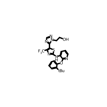 CC(C)(C)c1ccccc1Oc1ncccc1Nc1nc(C(F)(F)F)c(-c2ncnn2CCO)s1